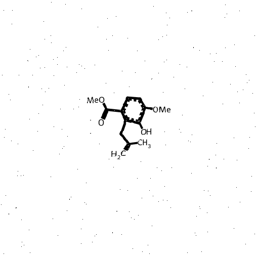 C=C(C)Cc1c(C(=O)OC)ccc(OC)c1O